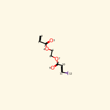 C=CC(=O)OCCOC(=O)/C=C/I